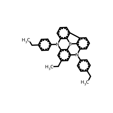 CCc1ccc(N2c3cccc4c3B3c5c-4cccc5N(c4ccc(CC)cc4)c4cc(CC)cc2c43)cc1